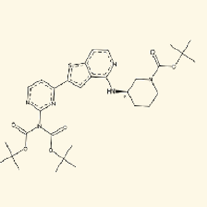 CC(C)(C)OC(=O)N1CCC[C@@H](Nc2nccc3sc(-c4ccnc(N(C(=O)OC(C)(C)C)C(=O)OC(C)(C)C)n4)cc23)C1